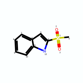 CS(=O)(=O)C1=Cc2ccccc2[N]1